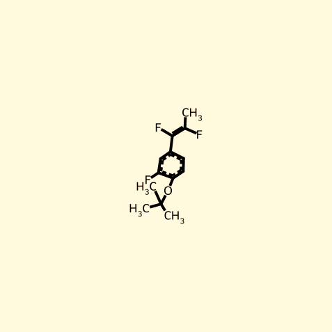 CC(F)=C(F)c1ccc(OC(C)(C)C)c(F)c1